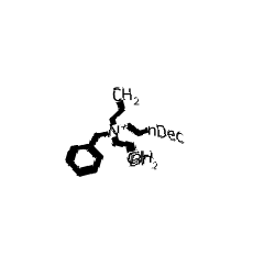 C=CC[N+](CC=C)(CCCCCCCCCCCC)Cc1ccccc1.[Br-]